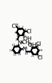 CN(Cc1cc(Cl)cc(Cl)c1O)c1ccccc1/N=C/c1cc(Cl)cc(Cl)c1O